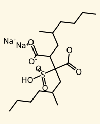 CCCCC(C)CC(C(=O)[O-])C(CC(C)CCCC)(C(=O)[O-])S(=O)(=O)O.[Na+].[Na+]